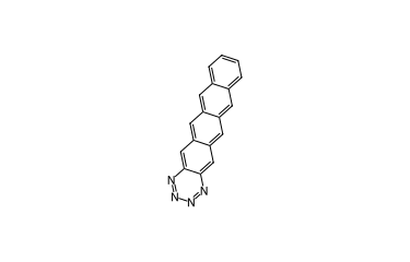 c1ccc2cc3cc4cc5nnnnc5cc4cc3cc2c1